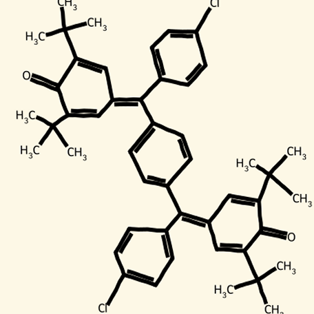 CC(C)(C)C1=CC(=C(c2ccc(Cl)cc2)c2ccc(C(=C3C=C(C(C)(C)C)C(=O)C(C(C)(C)C)=C3)c3ccc(Cl)cc3)cc2)C=C(C(C)(C)C)C1=O